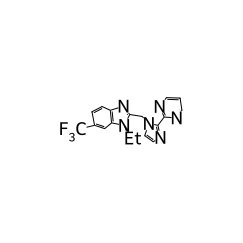 CCn1c(Cn2ccnc2-c2ncccn2)nc2ccc(C(F)(F)F)cc21